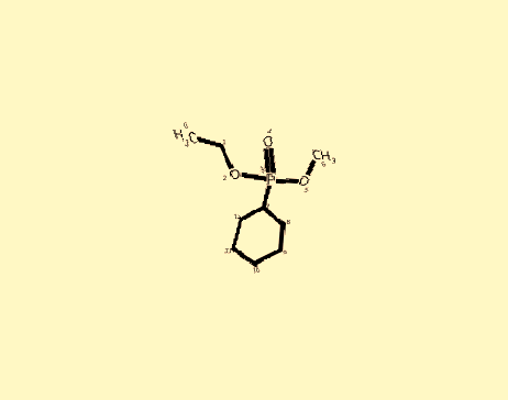 CCOP(=O)(OC)C1CCCCC1